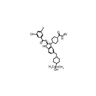 CC(C)NC(=O)[C@H]1CC[C@@H](n2/c(=N/C(=O)c3cc(F)cc(Cl)c3)[nH]c3ccc(CN4CCC(C(C)(C)O)CC4)cc32)CC1